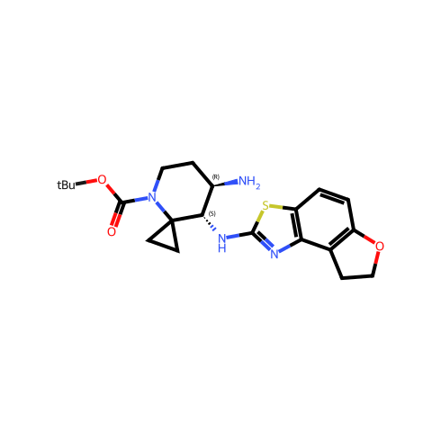 CC(C)(C)OC(=O)N1CC[C@@H](N)[C@H](Nc2nc3c4c(ccc3s2)OCC4)C12CC2